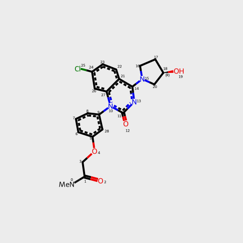 CNC(=O)COc1cccc(-n2c(=O)nc(N3CC[C@@H](O)C3)c3ccc(Cl)cc32)c1